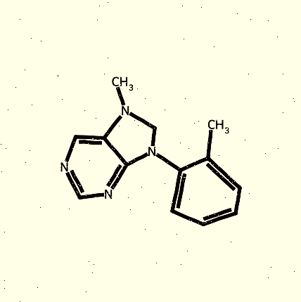 Cc1ccccc1N1CN(C)c2cncnc21